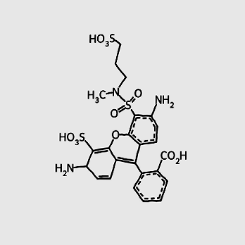 CN(CCCS(=O)(=O)O)S(=O)(=O)c1c(N)ccc2c1OC1=C(S(=O)(=O)O)C(N)C=CC1=C2c1ccccc1C(=O)O